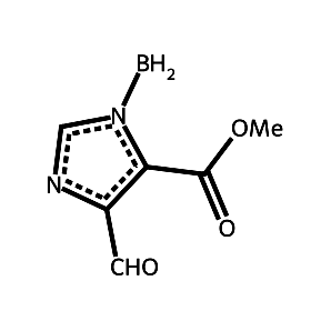 Bn1cnc(C=O)c1C(=O)OC